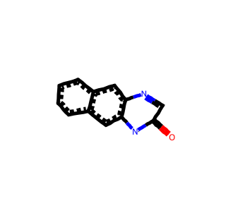 O=C1C=Nc2cc3ccccc3cc2[N]1